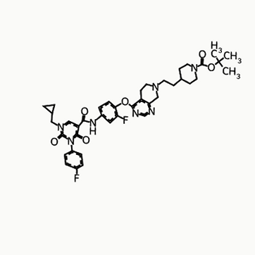 CC(C)(C)OC(=O)N1CCC(CCN2CCc3c(ncnc3Oc3ccc(NC(=O)c4cn(CC5CC5)c(=O)n(-c5ccc(F)cc5)c4=O)cc3F)C2)CC1